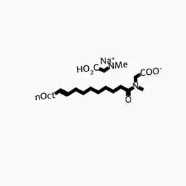 CCCCCCCC/C=C/CCCCCCCC(=O)N(C)CC(=O)[O-].CNCC(=O)O.[Na+]